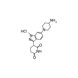 Cl.Cn1nc(C2CCC(=O)NC2=O)c2ccc(N3CCC(N)CC3)cc21